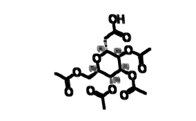 CC(=O)OC[C@H]1O[C@H](CC(=O)O)[C@@H](OC(C)=O)[C@@H](OC(C)=O)[C@@H]1OC(C)=O